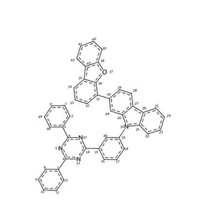 c1ccc(-c2nc(-c3ccccc3)nc(-c3cccc(-n4c5ccccc5c5ccc(-c6cccc7c6oc6ccccc67)cc54)c3)n2)cc1